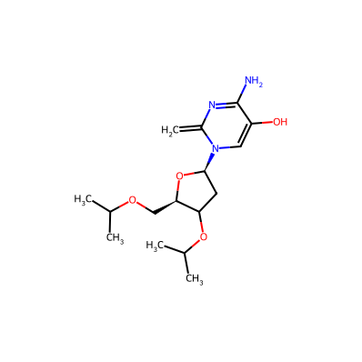 C=C1N=C(N)C(O)=CN1[C@H]1CC(OC(C)C)[C@@H](COC(C)C)O1